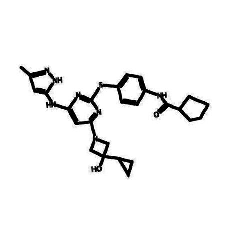 Cc1cc(Nc2cc(N3CC(O)(C4CC4)C3)nc(Sc3ccc(NC(=O)C4CCCC4)cc3)n2)[nH]n1